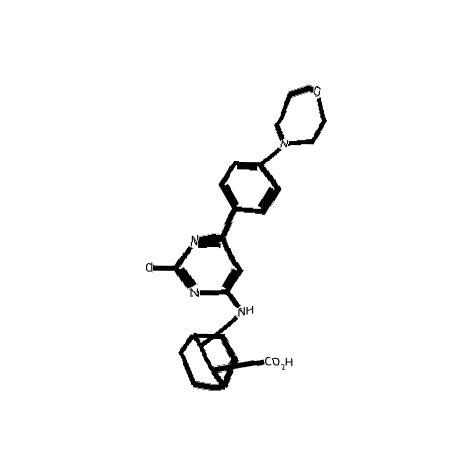 O=C(O)C1C2CCC(CC2)C1Nc1cc(-c2ccc(N3CCOCC3)cc2)nc(Cl)n1